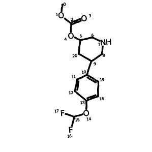 COC(=O)OC1CNCC(c2ccc(OC(F)F)cc2)C1